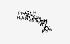 CC(C)[C@@H](C(=O)O)N(C)S(=O)(=O)c1ccc(-c2ccc(NC(=O)Cc3cc(F)cc(F)c3)cc2)cc1